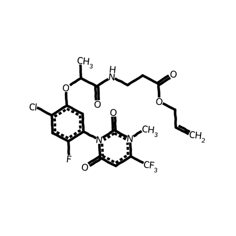 C=CCOC(=O)CCNC(=O)C(C)Oc1cc(-n2c(=O)cc(C(F)(F)F)n(C)c2=O)c(F)cc1Cl